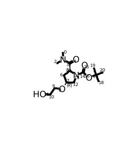 CN(C)C(=O)[C@@H]1C[C@@H](OCCO)CN1C(=O)OC(C)(C)C